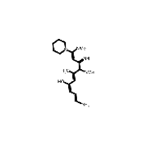 CN/C(=C\C(=N)C(NC)/C(C)=C/C(O)=C\C=C\N)N1CCCCC1